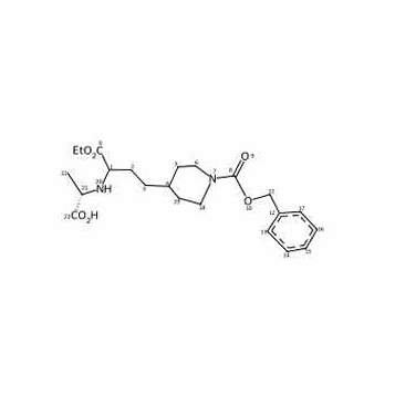 CCOC(=O)C(CCC1CCN(C(=O)OCc2ccccc2)CC1)N[C@@H](C)C(=O)O